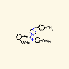 COc1ccc(N=C(C#Cc2ccccc2OC)N2CCN(Cc3ccc(C)cc3)CC2)cc1